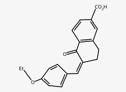 CCOc1ccc(C=C2CCc3cc(C(=O)O)ccc3C2=O)cc1